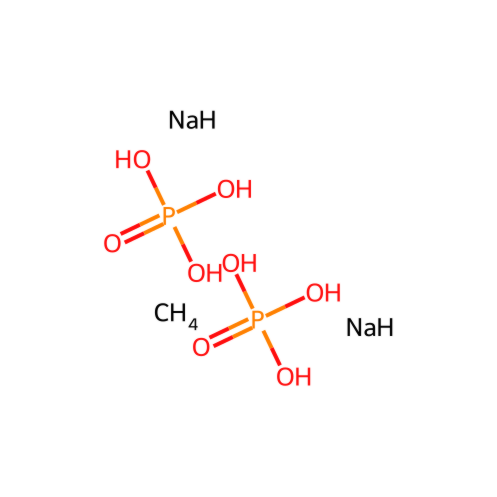 C.O=P(O)(O)O.O=P(O)(O)O.[NaH].[NaH]